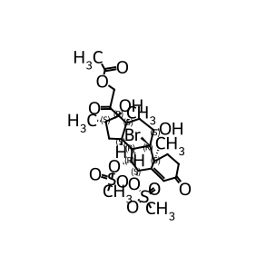 CC(=O)OCC(=O)[C@@]1(O)[C@@H](C)C[C@H]2[C@@H]3[C@@H](OS(C)(=O)=O)[C@@H](OS(C)(=O)=O)C4=CC(=O)CC[C@]4(C)[C@@]3(Br)[C@@H](O)C[C@@]21C